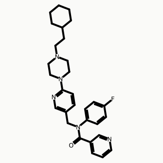 O=C(c1cccnc1)N(Cc1ccc(N2CCN(CCC3CCCCC3)CC2)nc1)c1ccc(F)cc1